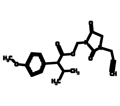 C#CCN1CC(=O)N(COC(=O)C(c2ccc(OC)cc2)C(C)C)C1=O